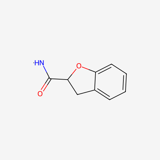 [NH]C(=O)C1Cc2ccccc2O1